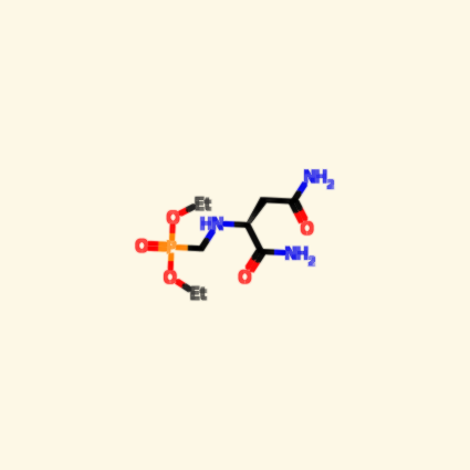 CCOP(=O)(CN[C@@H](CC(N)=O)C(N)=O)OCC